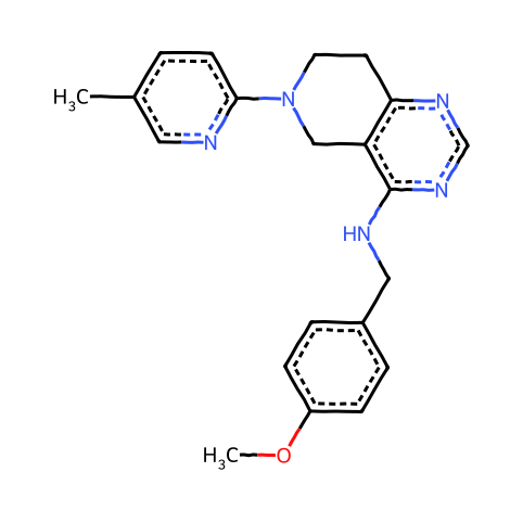 COc1ccc(CNc2ncnc3c2CN(c2ccc(C)cn2)CC3)cc1